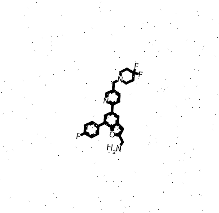 NCc1cc2cc(-c3ccc([C]N4CCC(F)(F)CC4)cn3)cc(-c3ccc(F)cc3)c2o1